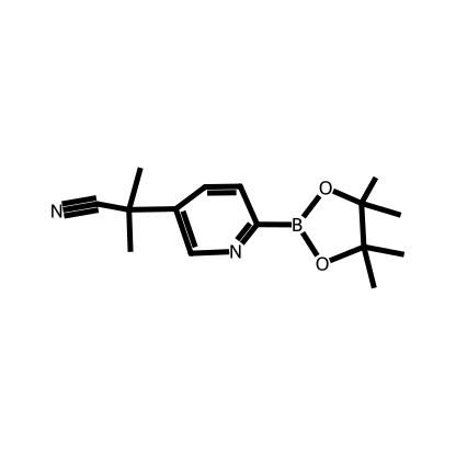 CC(C)(C#N)c1ccc(B2OC(C)(C)C(C)(C)O2)nc1